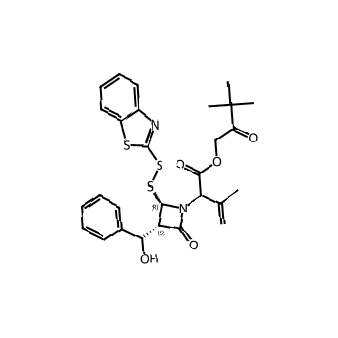 C=C(C)C(C(=O)OCC(=O)C(C)(C)C)N1C(=O)[C@H](C(O)c2ccccc2)[C@H]1SSc1nc2ccccc2s1